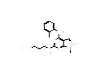 COCCCNc1nc(Nc2ccccc2C)c2cnn(C)c2n1